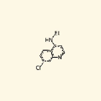 CCNc1ccnc2cc(Cl)ccc12